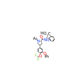 CC(=O)N1CC(c2ccc(OC(F)F)c(OC(C)C)c2)C[C@@H]1C(=O)NCc1ccccc1C(=O)O